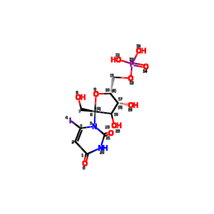 O=c1cc(I)n([C@]2(CO)O[C@H](COP(=O)(O)O)[C@H](O)C2O)c(=O)[nH]1